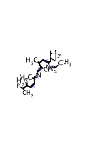 C=C(/C=C(N)\N=C/C)/C(C)=C/N=C(C)/C=C\C(=C)C(C)F